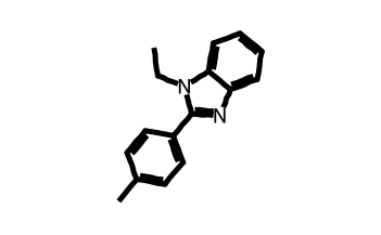 CCn1c(-c2ccc(C)cc2)nc2ccccc21